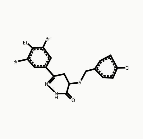 CCc1c(Br)cc(C2=NNC(=O)C(SCc3ccc(Cl)cc3)C2)cc1Br